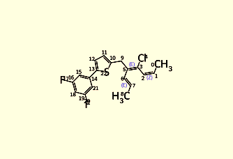 C\C=C/C(Cl)=C(\C=C\C)Cc1ccc(-c2cc(F)cc(F)c2)s1